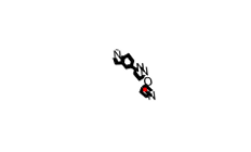 Cn1ccc2cc(-c3ccc(OC4CN5CCC4CC5)nn3)ccc21